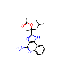 CC(=O)OC(C)(CC(C)C)c1nc2c(N)nc3ccccc3c2[nH]1